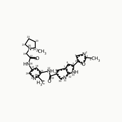 Cc1ncc(-c2cc3cc(C(=O)Nc4cc(NC(=O)CN5CCC[C@@H]5C)cnc4C)cnc3[nH]2)o1